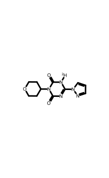 [2H]n1c(-n2cccn2)nc(=O)n(C2CCOCC2)c1=O